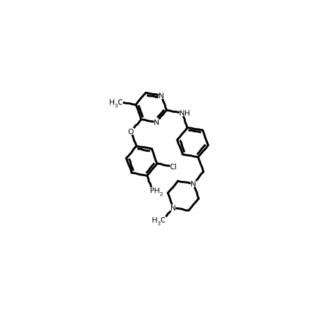 Cc1cnc(Nc2ccc(CN3CCN(C)CC3)cc2)nc1Oc1ccc(P)c(Cl)c1